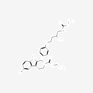 CCOC(=O)N1CCc2c([nH]c3ccc(Cl)cc23)[C@@H]1c1ccc(OCCC(O)CNC(=O)OC)cc1